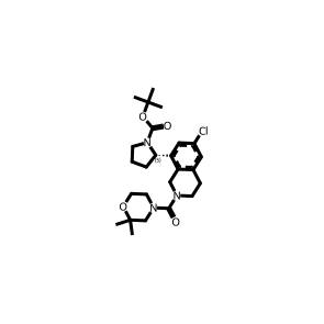 CC(C)(C)OC(=O)N1CCC[C@H]1c1cc(Cl)cc2c1CN(C(=O)N1CCOC(C)(C)C1)CC2